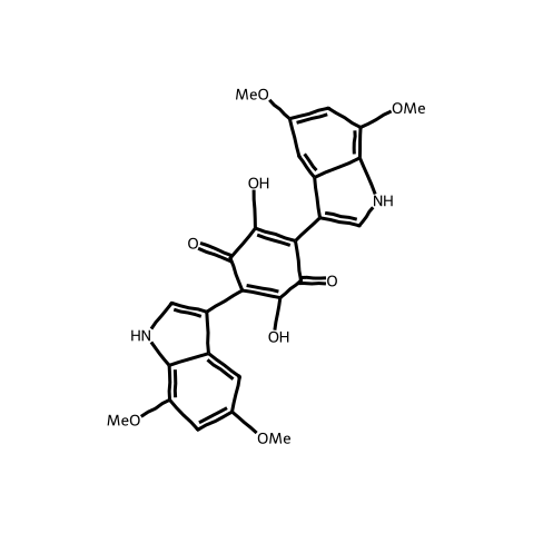 COc1cc(OC)c2[nH]cc(C3=C(O)C(=O)C(c4c[nH]c5c(OC)cc(OC)cc45)=C(O)C3=O)c2c1